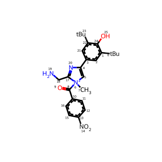 CC(C)(C)c1cc(C2=C[N+](C)(C(=O)c3ccc([N+](=O)[O-])cc3)C(CN)=N2)cc(C(C)(C)C)c1O